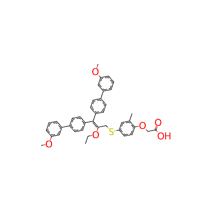 CCOC(CSc1ccc(OCC(=O)O)c(C)c1)=C(c1ccc(-c2cccc(OC)c2)cc1)c1ccc(-c2cccc(OC)c2)cc1